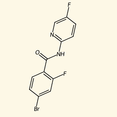 O=C(Nc1ccc(F)cn1)c1ccc(Br)cc1F